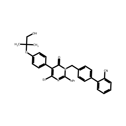 CCCc1nc(CC)c(-c2ccc(OC(C)(C)CO)cc2)c(=O)n1Cc1ccc(-c2ccccc2C#N)cc1